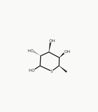 C[C@H]1SC(O)[C@H](O)[C@@H](O)[C@H]1O